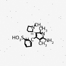 Cc1nc(N)c(C)c(C)c1[C@@H]1CCCN1C.O=S(=O)(O)c1ccccc1